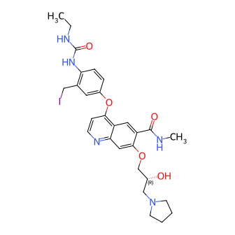 CCNC(=O)Nc1ccc(Oc2ccnc3cc(OC[C@H](O)CN4CCCC4)c(C(=O)NC)cc23)cc1CI